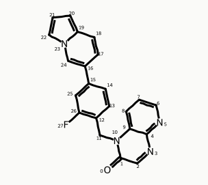 O=c1cnc2ncccc2n1Cc1ccc(-c2ccc3cccn3c2)cc1F